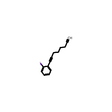 C#CCCCCC#Cc1ccccc1I